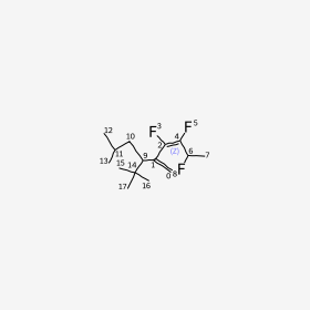 C=C(/C(F)=C(/F)C(C)F)C(CC(C)C)C(C)(C)C